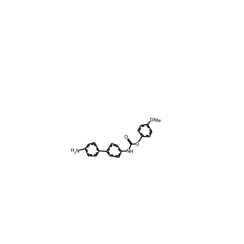 COc1ccc(OC(=O)Nc2ccc(-c3ccc(N)cc3)cc2)cc1